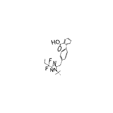 CCC(F)(F)c1nc(Cc2ccc(-c3ccccc3C(=O)O)cc2)n(C(C)(C)C)n1